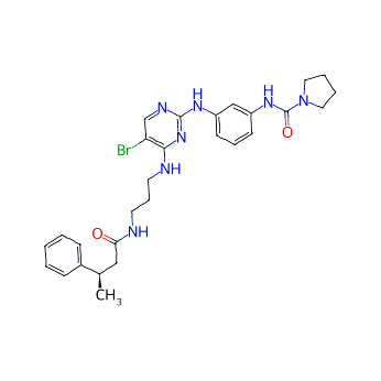 C[C@H](CC(=O)NCCCNc1nc(Nc2cccc(NC(=O)N3CCCC3)c2)ncc1Br)c1ccccc1